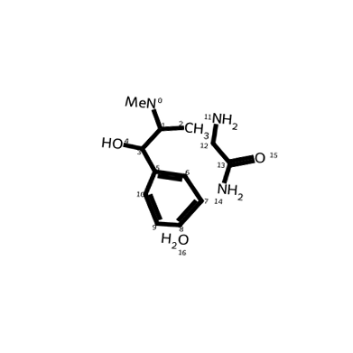 CNC(C)C(O)c1ccccc1.NCC(N)=O.O